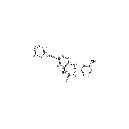 N#Cc1cccc(C2=Nc3ccc(C#CC4=CCOCC4)cc3NC(=O)C2)c1